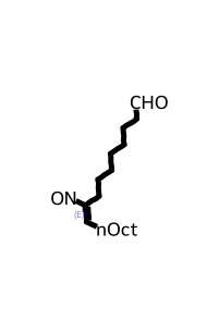 CCCCCCCC/C=C(\CCCCCCCC=O)N=O